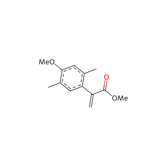 C=C(C(=O)OC)c1cc(C)c(OC)cc1C